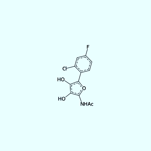 CC(=O)Nc1oc(-c2ccc(F)cc2Cl)c(O)c1O